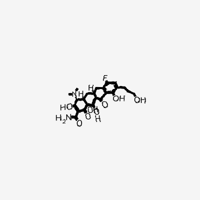 CN(C)[C@@H]1C(O)=C(C(N)=O)C(=O)[C@@]2(O)C(O)=C3C(=O)c4c(O)c(CCCO)cc(F)c4C[C@H]3C[C@@H]12